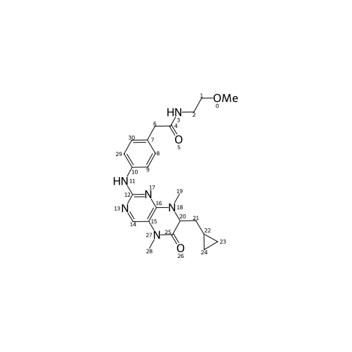 COCCNC(=O)Cc1ccc(Nc2ncc3c(n2)N(C)C(CC2CC2)C(=O)N3C)cc1